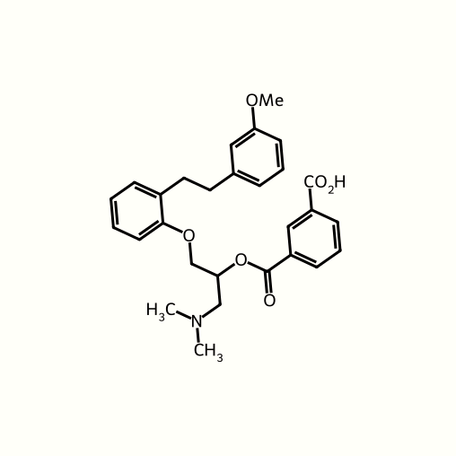 COc1cccc(CCc2ccccc2OCC(CN(C)C)OC(=O)c2cccc(C(=O)O)c2)c1